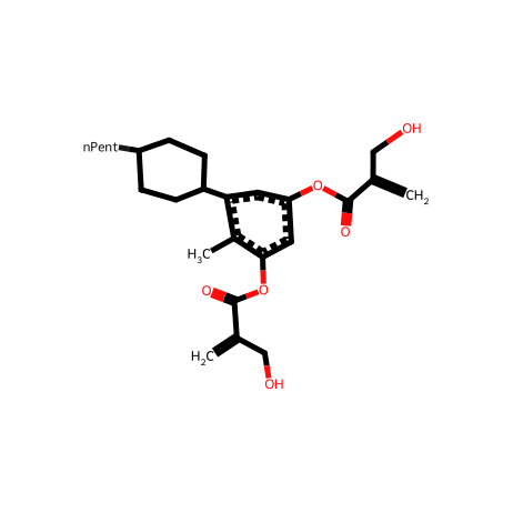 C=C(CO)C(=O)Oc1cc(OC(=O)C(=C)CO)c(C)c(C2CCC(CCCCC)CC2)c1